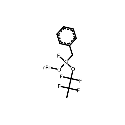 CCCO[Si](F)(Cc1ccccc1)OC(F)(F)C(C)(F)F